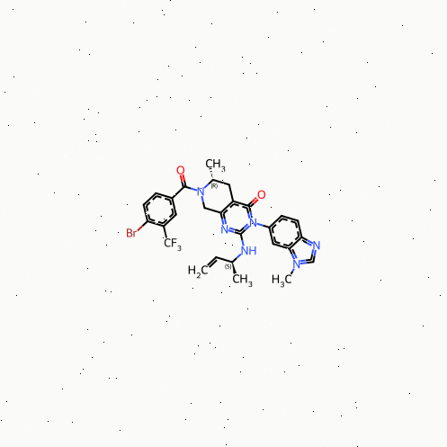 C=C[C@H](C)Nc1nc2c(c(=O)n1-c1ccc3ncn(C)c3c1)C[C@@H](C)N(C(=O)c1ccc(Br)c(C(F)(F)F)c1)C2